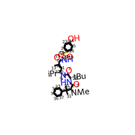 CN[C@H](C(=O)N[C@H](C(=O)N(C)[C@H](C=C(C)C(=O)NS(=O)(=O)c1ccc(O)cc1)C(C)C)C(C)(C)C)C(C)(C)c1ccccc1